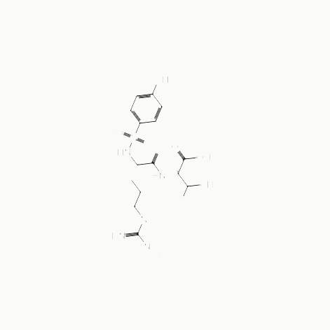 Cc1ccc(S(=O)(=O)N[C@@H](CCCNC(=N)N)C(=O)N[C@H](C(=O)O)C(C)C)cc1